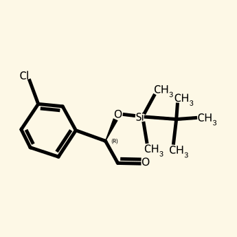 CC(C)(C)[Si](C)(C)O[C@@H](C=O)c1cccc(Cl)c1